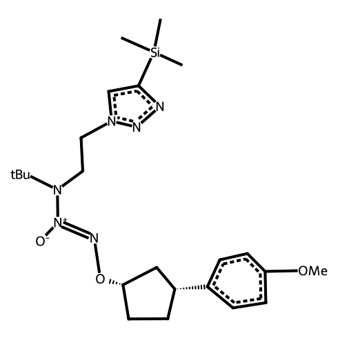 COc1ccc([C@@H]2CC[C@H](O/N=[N+](\[O-])N(CCn3cc([Si](C)(C)C)nn3)C(C)(C)C)C2)cc1